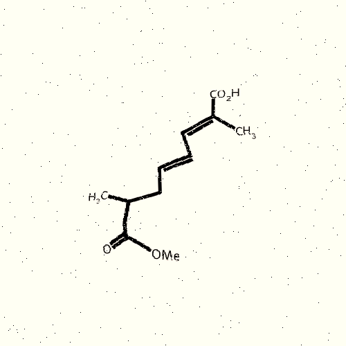 COC(=O)C(C)CC=CC=C(C)C(=O)O